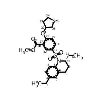 CCc1ccc2c(c1)CC[C@@H](CC)N2S(=O)(=O)c1ccc(OC2CCSC2)c(C(=O)OC)c1